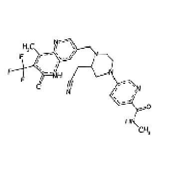 CNC(=O)c1ccc(N2CCN(Cc3cnc4c(C)c(C(F)(F)F)c(=O)[nH]c4c3)C(CC#N)C2)cn1